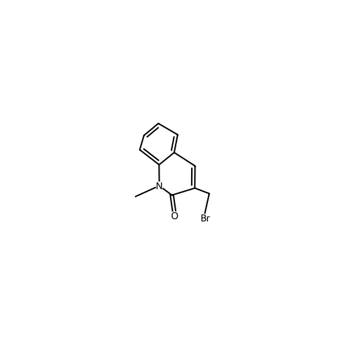 Cn1c(=O)c(CBr)cc2ccccc21